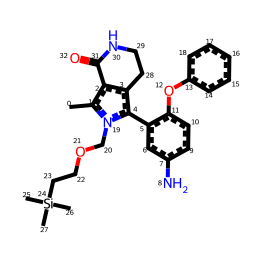 Cc1c2c(c(-c3cc(N)ccc3Oc3ccccc3)n1COCC[Si](C)(C)C)CCNC2=O